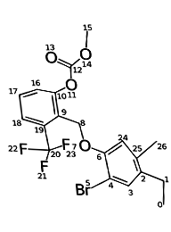 CCc1cc(Br)c(OCc2c(OC(=O)OC)cccc2C(F)(F)F)cc1C